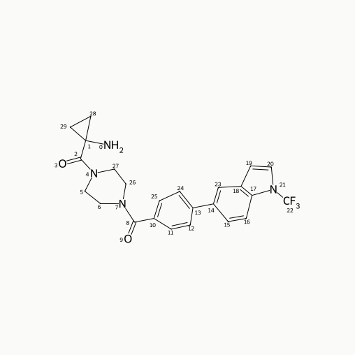 NC1(C(=O)N2CCN(C(=O)c3ccc(-c4ccc5c(ccn5C(F)(F)F)c4)cc3)CC2)CC1